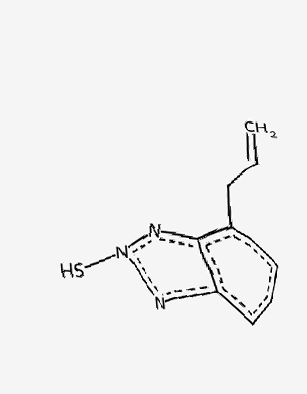 C=CCc1cccc2nn(S)nc12